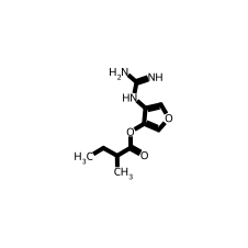 CCC(C)C(=O)Oc1cocc1NC(=N)N